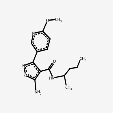 CCCC(C)NC(=O)c1c(-c2ccc(OC)nc2)noc1N